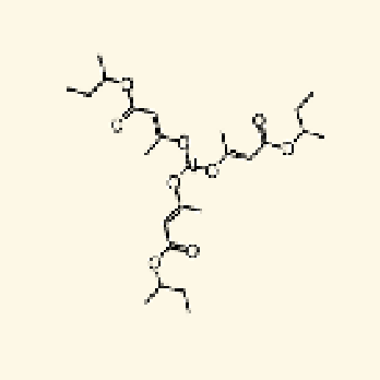 CCC(C)OC(=O)/C=C(\C)[O][Al]([O]/C(C)=C/C(=O)OC(C)CC)[O]/C(C)=C/C(=O)OC(C)CC